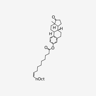 CCCCCCCC/C=C\CCCCCCCC(=O)Oc1ccc2c(c1)CC[C@@H]1[C@@H]2CCC2(C)C(=O)CC[C@@H]12